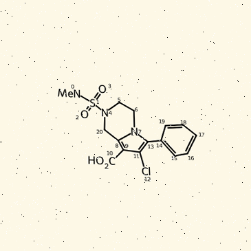 CNS(=O)(=O)N1CCn2c(c(C(=O)O)c(Cl)c2-c2ccccc2)C1